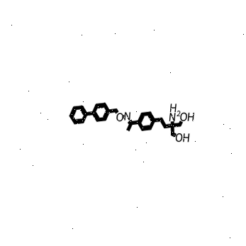 C/C(=N\OCc1ccc(-c2ccccc2)cc1)c1ccc(CCC(N)(CO)CO)cc1